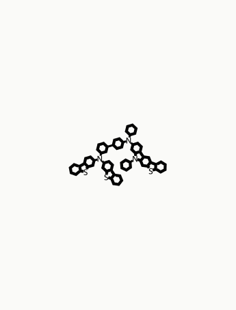 c1ccc(N(c2ccc(-c3cccc(N(c4ccc5c(c4)sc4ccccc45)c4ccc5c(c4)sc4ccccc45)c3)cc2)c2ccc3c4cc5c(cc4n(-c4ccccc4)c3c2)sc2ccccc25)cc1